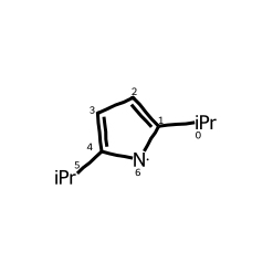 CC(C)C1=CC=C(C(C)C)[N]1